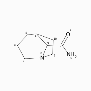 NC(=O)C1C2CCCN1CC2